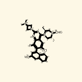 C[C@@H]1CN(c2nc(N3CC(N(C)C)C3)nc3c(F)c(-c4cc(O)cc5ccccc45)c(Cl)cc23)[C@@H](C)CN1C=O